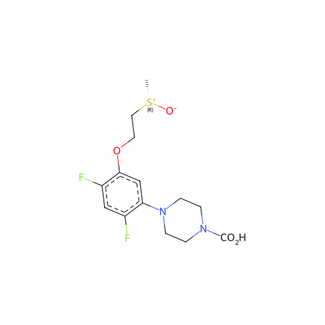 C[S@+]([O-])CCOc1cc(N2CCN(C(=O)O)CC2)c(F)cc1F